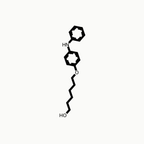 OCCCCCCOc1ccc(Nc2ccccc2)cc1